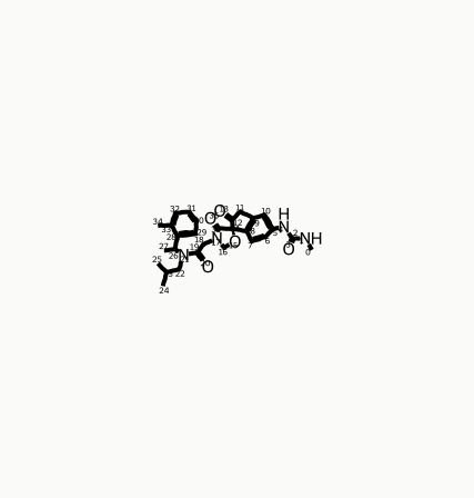 CNC(=O)Nc1ccc2c(c1)CC(=O)[C@]21OCN(CC(=O)N(CC(C)C)C(C)c2ccccc2C)C1=O